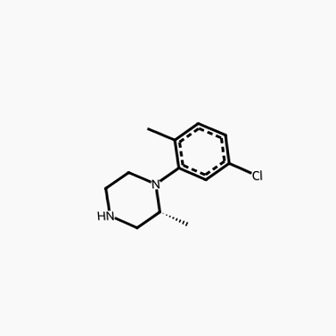 Cc1ccc(Cl)cc1N1CCNC[C@H]1C